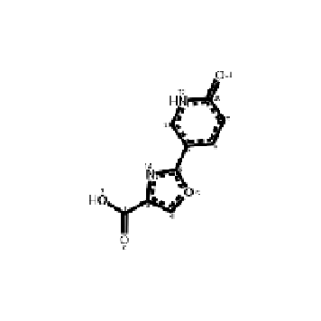 O=C(O)c1coc(-c2ccc(=O)[nH]c2)n1